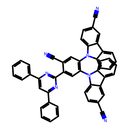 N#Cc1ccc2c(c1)c1ccccc1n2-c1cc(C#N)c(-c2nc(-c3ccccc3)cc(-c3ccccc3)n2)cc1-n1c2ccccc2c2cc(C#N)ccc21